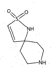 O=S1(=O)C=CC2(CCNCC2)N1